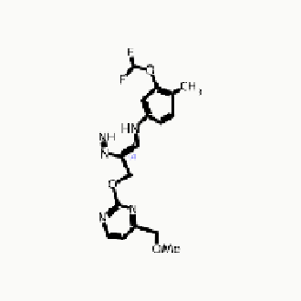 COCc1ccnc(OC/C(=C/Nc2ccc(C)c(OC(F)F)c2)N=N)n1